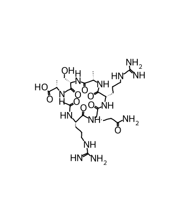 CC(=O)N[C@@H](CCCNC(=N)N)C(=O)N[C@@H](CCC(N)=O)C(=O)N[C@@H](CCCNC(=N)N)C(=O)N[C@@H](C)C(=O)N[C@@H](CO)C(=O)N[C@@H](C)C(=O)O